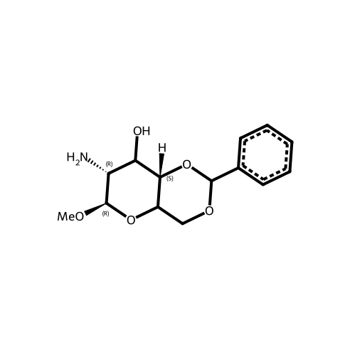 CO[C@@H]1OC2COC(c3ccccc3)O[C@H]2C(O)[C@H]1N